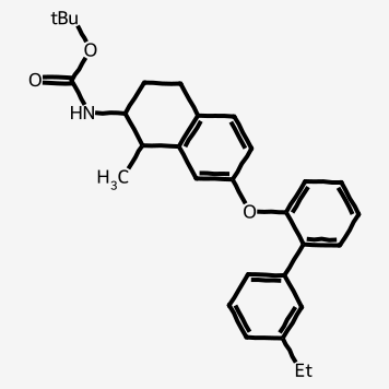 CCc1cccc(-c2ccccc2Oc2ccc3c(c2)C(C)C(NC(=O)OC(C)(C)C)CC3)c1